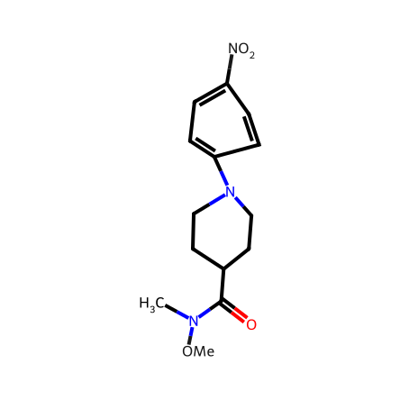 CON(C)C(=O)C1CCN(c2ccc([N+](=O)[O-])cc2)CC1